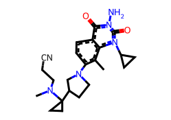 Cc1c(N2CCC(C3(N(C)CCC#N)CC3)C2)ccc2c(=O)n(N)c(=O)n(C3CC3)c12